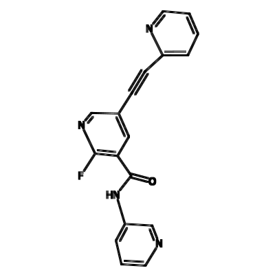 O=C(Nc1cccnc1)c1cc(C#Cc2ccccn2)cnc1F